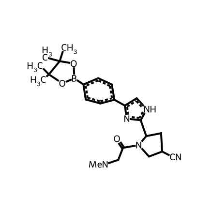 CNCC(=O)N1CC(C#N)CC1c1nc(-c2ccc(B3OC(C)(C)C(C)(C)O3)cc2)c[nH]1